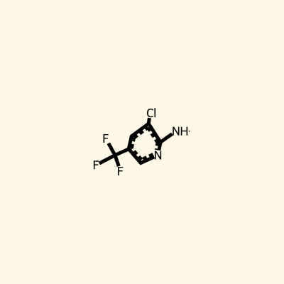 [NH]c1ncc(C(F)(F)F)cc1Cl